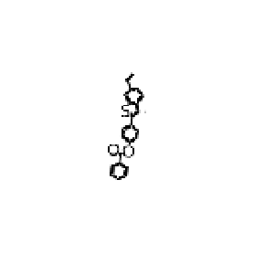 C=Cc1ccc2[c]c(-c3ccc(OC(=O)c4ccccc4)cc3)sc2c1